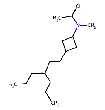 CCCC(CCC)CCC1CC(N(C)C(C)C)C1